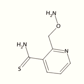 NOCc1ncccc1C(N)=S